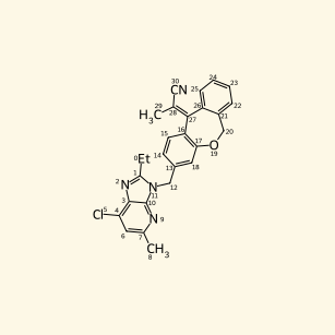 CCc1nc2c(Cl)cc(C)nc2n1Cc1ccc2c(c1)OCc1ccccc1/C2=C(/C)C#N